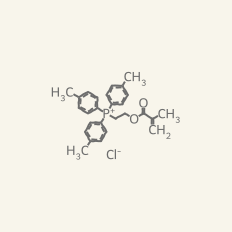 C=C(C)C(=O)OCC[P+](c1ccc(C)cc1)(c1ccc(C)cc1)c1ccc(C)cc1.[Cl-]